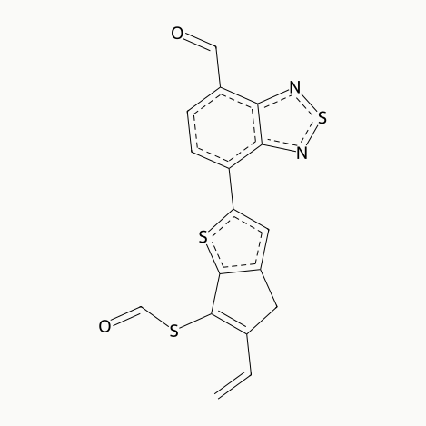 C=CC1=C(SC=O)c2sc(-c3ccc(C=O)c4nsnc34)cc2C1